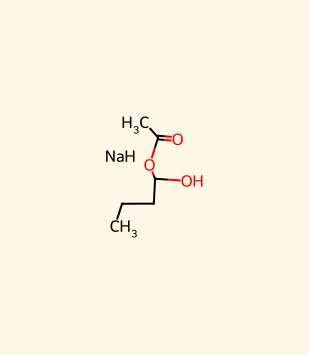 CCCC(O)OC(C)=O.[NaH]